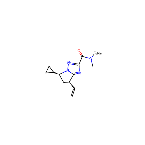 C=C[C@H]1C[C@@H](C2CC2)n2nc(C(=O)N(C)OC)nc21